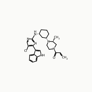 C=CC(=O)N1CCN([C@H]2CCC[C@@H](Nc3ncc(Cl)c(-c4c[nH]c5ccccc45)n3)C2)[C@@H](C)C1